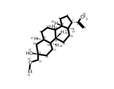 C=C([C@H]1CC[C@H]2[C@@H]3CC[C@@H]4C[C@@](O)(COCC)CC[C@@H]4[C@H]3CC[C@]12C)C(F)(F)F